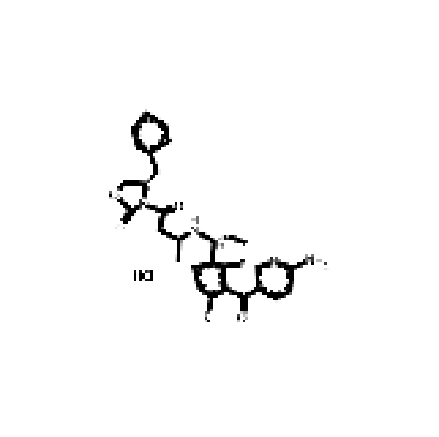 CC[C@@H](NC(C)CC(=O)N1C(=O)OC[C@H]1Cc1ccccc1)c1ccc(Cl)c(C(=O)c2ccc(N)nc2)c1F.Cl